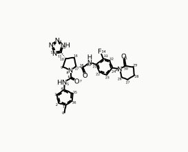 Cc1ccc(NC(=O)N2C[C@H](c3nnn[nH]3)C[C@@H]2C(=O)Nc2ccc(N3CCCCC3=O)cc2F)cc1